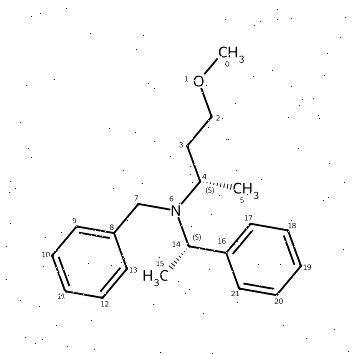 COCC[C@H](C)N(Cc1ccccc1)[C@@H](C)c1ccccc1